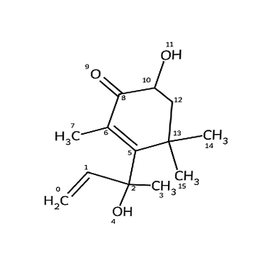 C=CC(C)(O)C1=C(C)C(=O)C(O)CC1(C)C